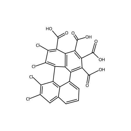 O=C(O)c1c(C(=O)O)c2c(C(=O)O)c(Cl)c(Cl)c3c4c(Cl)c(Cl)cc5cccc(c(c1C(=O)O)c23)c54